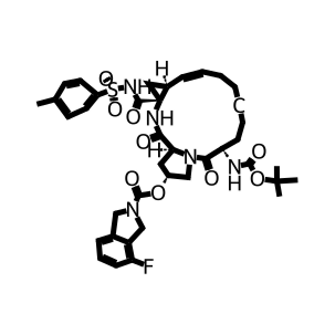 Cc1ccc(S(=O)(=O)NC(=O)[C@@]23C[C@H]2/C=C\CCCCC[C@H](NC(=O)OC(C)(C)C)C(=O)N2C[C@H](OC(=O)N4Cc5cccc(F)c5C4)C[C@H]2C(=O)N3)cc1